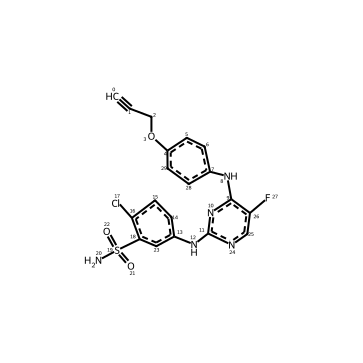 C#CCOc1ccc(Nc2nc(Nc3ccc(Cl)c(S(N)(=O)=O)c3)ncc2F)cc1